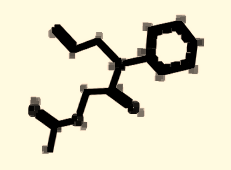 C=CCN(C(=O)COC(C)=O)c1ccccc1